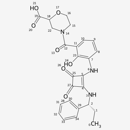 CC[C@@H](Nc1c(Nc2cccc(C(=O)N3CCOC(C(=O)O)C3)c2O)c(=O)c1=O)c1ccccc1